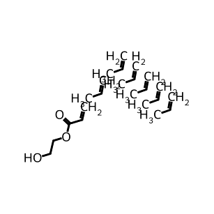 C=CC.C=CC.C=CC.C=CC.C=CC.C=CC.C=CC(=O)OCCO